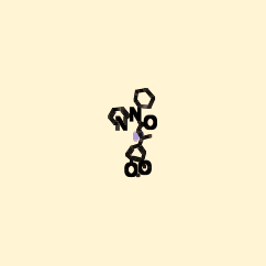 C/C(=C\C(=O)N(c1ccccn1)C1CCCCC1)c1ccc2c(c1)OCO2